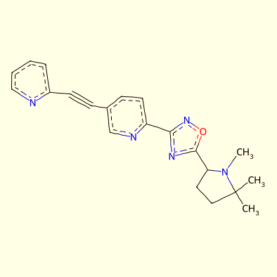 CN1C(c2nc(-c3ccc(C#Cc4ccccn4)cn3)no2)CCC1(C)C